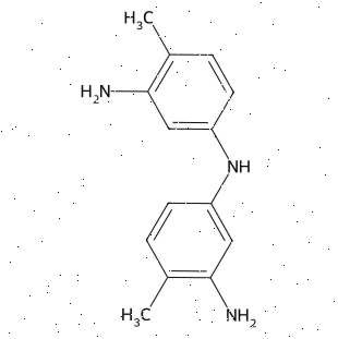 Cc1ccc(Nc2ccc(C)c(N)c2)cc1N